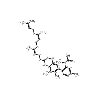 CC(C)=CCCC(C)=CCCC(C)=CCCC1CCc2cc(-c3ccc(C)cc3N(C)C(=O)O)c(C)c(C)c2O1